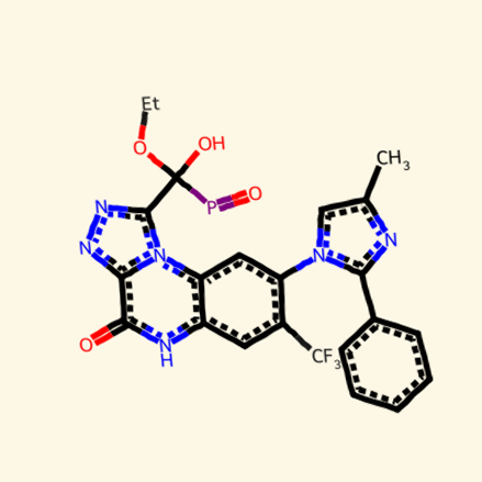 CCOC(O)(P=O)c1nnc2c(=O)[nH]c3cc(C(F)(F)F)c(-n4cc(C)nc4-c4ccccc4)cc3n12